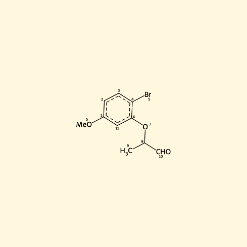 COc1ccc(Br)c(OC(C)C=O)c1